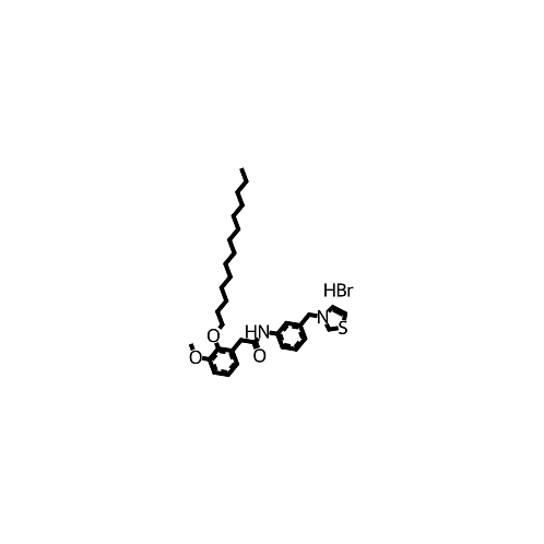 Br.CCCCCCCCCCCCCCOc1c(CC(=O)Nc2cccc(CN3C=CSC3)c2)cccc1OC